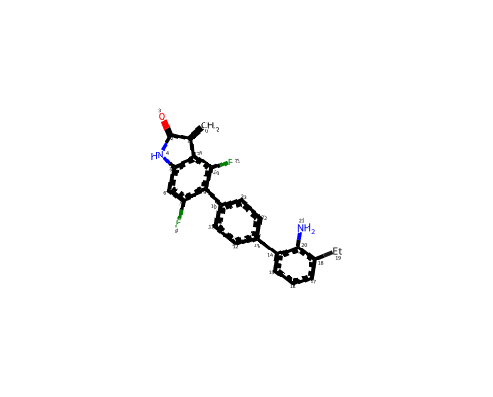 C=C1C(=O)Nc2cc(F)c(-c3ccc(-c4cccc(CC)c4N)cc3)c(F)c21